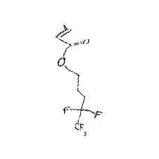 C=CC(=O)OCCCC(F)(F)C(F)(F)F